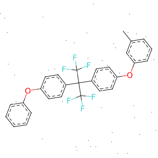 Cc1cccc(Oc2ccc(C(c3ccc(Oc4ccccc4)cc3)(C(F)(F)F)C(F)(F)F)cc2)c1